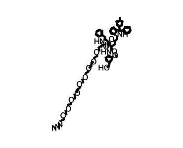 COc1cc(CO)ccc1NC(=O)C(CCCCNC(c1ccccc1)(c1ccccc1)c1ccc(C)cc1)NC(=O)C(Cc1ccccc1)NC(=O)CCOCCOCCOCCOCCOCCOCCOCCOCCOCCN=[N+]=[N-]